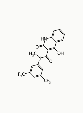 CN(C(=O)c1c(O)c2ccccc2[nH]c1=O)c1cc(C(F)(F)F)cc(C(F)(F)F)c1